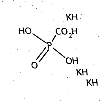 O=C(O)P(=O)(O)O.[KH].[KH].[KH]